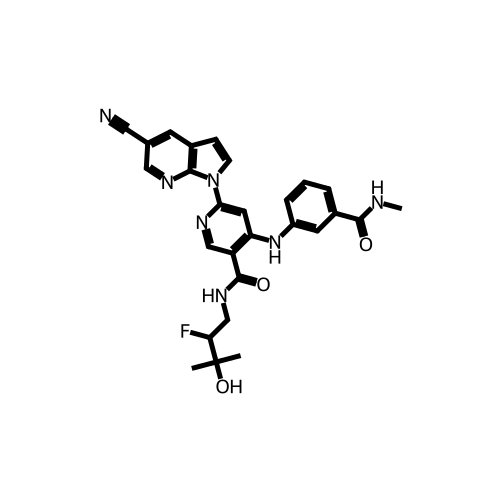 CNC(=O)c1cccc(Nc2cc(-n3ccc4cc(C#N)cnc43)ncc2C(=O)NCC(F)C(C)(C)O)c1